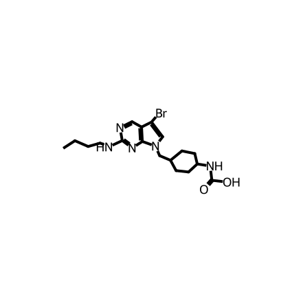 CCCCNc1ncc2c(Br)cn(CC3CCC(NC(=O)O)CC3)c2n1